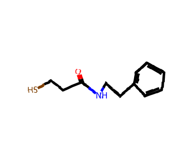 O=C(CCS)NCCc1ccccc1